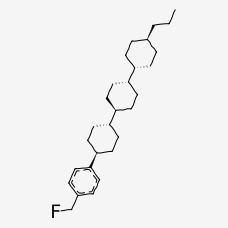 CCC[C@H]1CC[C@H]([C@H]2CC[C@H]([C@H]3CC[C@H](c4ccc(CF)cc4)CC3)CC2)CC1